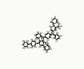 CC1(C)Cc2ccccc2C2CC=C(N(c3ccccc3)c3ccc(-n4c5ccccc5c5c(-c6ccc(-c7ccccc7)cc6)cc6c7ccccc7oc6c54)cc3)C=C21